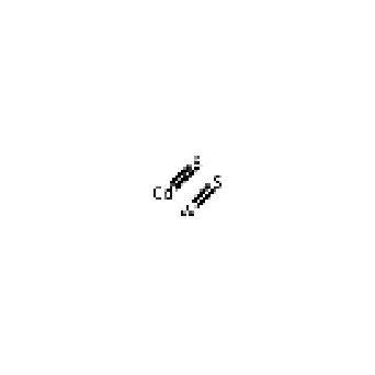 [S]=[Cd].[S]=[W]